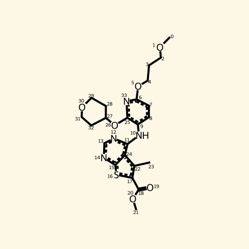 COCCCOc1ccc(Nc2ncnc3sc(C(=O)OC)c(C)c23)c(OC2CCOCC2)n1